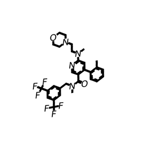 Cc1ccccc1-c1cc(N(C)CCN2CCOCC2)ncc1C(=O)N(C)Cc1cc(C(F)(F)F)cc(C(F)(F)F)c1